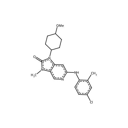 COC1CCC(n2c(=O)n(C)c3cnc(Nc4ccc(Cl)cc4C)cc32)CC1